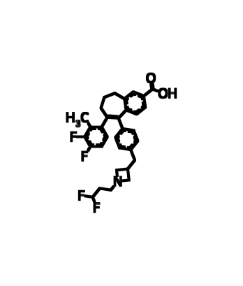 Cc1c(C2=C(c3ccc(CC4CN(CCC(F)F)C4)cc3)c3ccc(C(=O)O)cc3CCC2)ccc(F)c1F